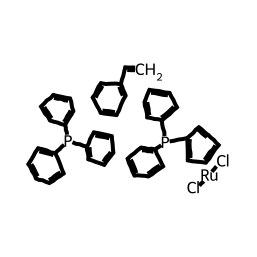 C=Cc1ccccc1.[Cl][Ru][Cl].c1ccc(P(c2ccccc2)c2ccccc2)cc1.c1ccc(P(c2ccccc2)c2ccccc2)cc1